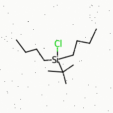 CCCC[Si](Cl)(CCCC)C(C)(C)C